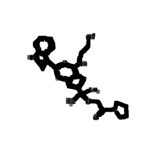 CC(C)(OCC(=O)N1CCCC1)c1cc2nc(-c3c[nH]c4ccccc34)nc(NCCO)c2s1